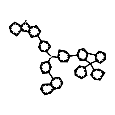 c1ccc(C2(c3ccccc3)c3ccccc3-c3ccc(-c4ccc(N(c5ccc(-c6ccc7sc8ccccc8c7c6)cc5)c5cccc(-c6cccc7ccccc67)c5)cc4)cc32)cc1